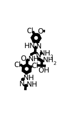 COc1cc2nc(C(CNC(=O)c3c(Cl)cc(N/C=N\C(C)=N)cc3Cl)N(N)/C=C(\N)C(C)(C)O)[nH]c2cc1Cl